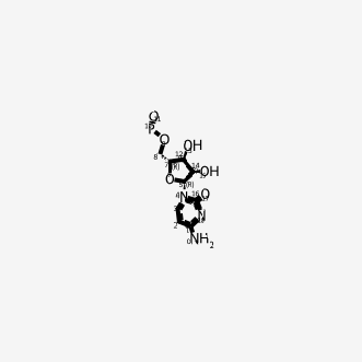 Nc1ccn([C@@H]2O[C@H](COP=O)[C@@H](O)[C@H]2O)c(=O)n1